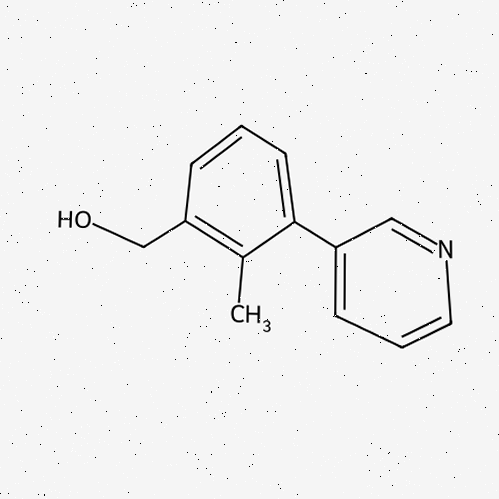 Cc1c(CO)cccc1-c1cccnc1